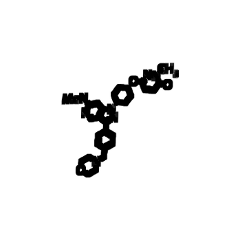 CNc1cc2c(cn1)c(-c1ccc(CN3CCOCC3)cc1)nn2[C@H]1CC[C@@H](Oc2ccc(=O)n(C)n2)CC1